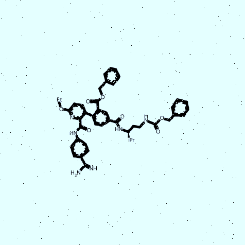 CCOc1ccc(-c2ccc(C(=O)N[C@@H](CCNC(=O)OCc3ccccc3)C(C)C)cc2C(=O)OCc2ccccc2)c(C(=O)Nc2ccc(C(=N)N)cc2)n1